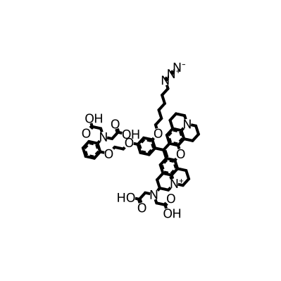 [N-]=[N+]=NCCCCCCOc1cc(OCCOc2ccccc2N(CC(=O)O)CC(=O)O)ccc1C1=c2cc3c4c(c2Oc2c1cc1c5c2CCCN5CCC1)CCC[N+]=4CC(N(CC(=O)O)CC(=O)O)C3